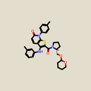 Cc1ccc(-n2c(=O)ccc3c(Nc4cccc(C)c4)c(C(=O)N4CCC[C@@H]4COC4CCCCO4)sc32)cc1